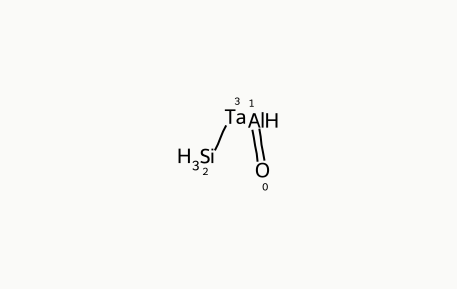 [O]=[AlH].[SiH3][Ta]